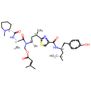 CC[C@H](C)[C@H](NC(=O)[C@H]1CCCCN1C)C(=O)N(COC(=O)C=C(C)C)[C@H](C[C@@H](OC(C)=O)c1nc(C(=O)N[C@@H](Cc2ccc(O)cc2)C[C@H](C)C(=O)O)cs1)C(C)C